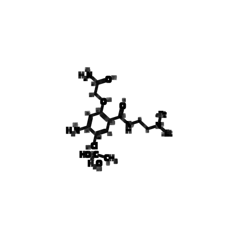 CC(=O)O.CCN(CC)CCNC(=O)c1cc(Cl)c(N)cc1OCC(N)=O.O